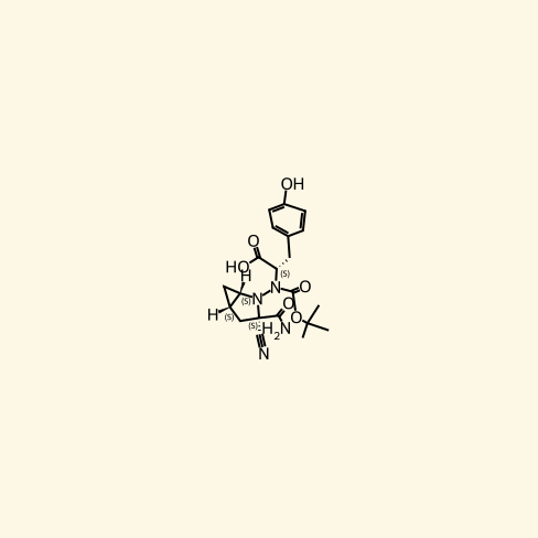 CC(C)(C)OC(=O)N([C@@H](Cc1ccc(O)cc1)C(=O)O)N1[C@H]2C[C@H]2C[C@]1(C#N)C(N)=O